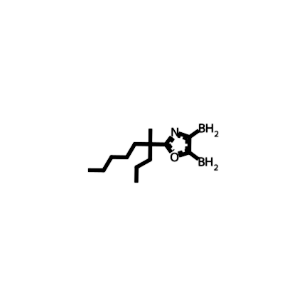 Bc1nc(C(C)(CCC)CCCCC)oc1B